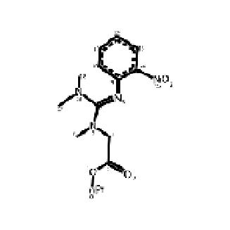 CCCOC(=O)CN(C)C(=Nc1ccccc1[N+](=O)[O-])N(C)C